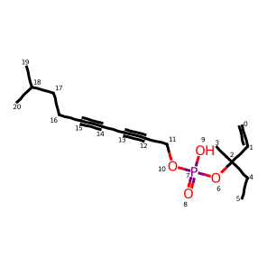 C=CC(C)(CC)OP(=O)(O)OCC#CC#CCCC(C)C